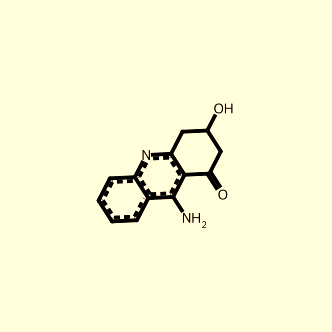 Nc1c2c(nc3ccccc13)CC(O)CC2=O